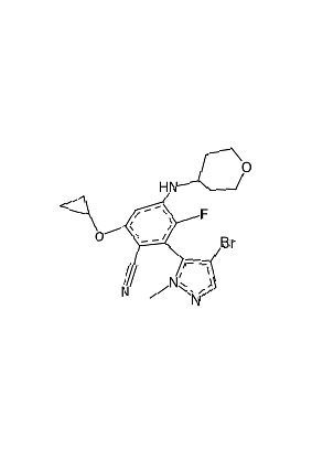 Cn1ncc(Br)c1-c1c(F)c(NC2CCOCC2)cc(OC2CC2)c1C#N